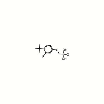 CC(C)(C)c1ccc(OCP(=O)(O)O)cc1F